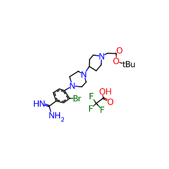 CC(C)(C)OC(=O)CN1CCC(N2CCN(c3ccc(C(=N)N)cc3Br)CC2)CC1.O=C(O)C(F)(F)F